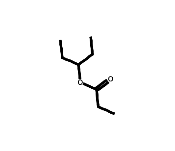 CCC(=O)OC(CC)CC